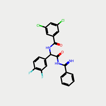 N=C(NC(=O)C(NC(=O)c1cc(Cl)cc(Cl)c1)c1ccc(F)c(F)c1)c1ccccc1